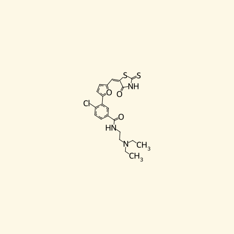 CCN(CC)CCNC(=O)c1ccc(Cl)c(-c2ccc(C=C3SC(=S)NC3=O)o2)c1